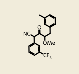 COC(Cc1cccc(C)c1)C(=O)C(C#N)c1cccc(C(F)(F)F)c1